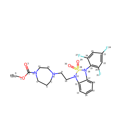 CC(C)(C)OC(=O)N1CCCN(CCN2c3ccccc3N(c3c(F)cc(F)cc3F)S2(=O)=O)CC1